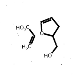 C=CC(=O)O.OCC1CC=CO1